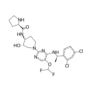 C[C@@H](Nc1nc(N2CC[C@H](NC(=O)[C@H]3CCCN3)[C@@H](O)C2)ncc1OC(F)F)c1ccc(Cl)cc1Cl